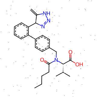 C=C1NN=NC1c1ccccc1-c1ccc(CN(C(=O)CCCC)[C@H](C(=O)O)C(C)C)cc1